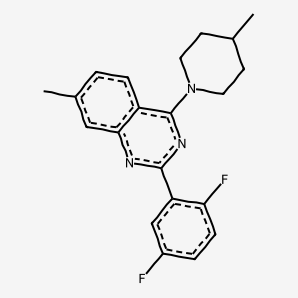 Cc1ccc2c(N3CCC(C)CC3)nc(-c3cc(F)ccc3F)nc2c1